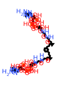 CC(C)(COP(=O)(O)OP(=O)(O)OCC1OC(n2cnc3c(N)ncnc32)C(O)C1OP(=O)(O)O)C(O)C(=O)NCCC(=O)NCCC(=O)CC1(CCCc2cccc(CCCC3(CC(=O)CCNC(=O)CCNC(=O)C(O)C(C)(C)COP(=O)(O)OP(=O)(O)OCC4OC(n5cnc6c(N)ncnc65)C(O)C4OP(=O)(O)O)CC3)c2)CC1